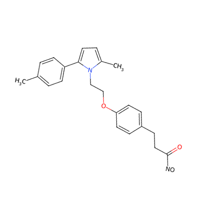 Cc1ccc(-c2ccc(C)n2CCOc2ccc(CCC(=O)N=O)cc2)cc1